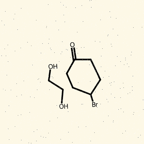 O=C1CCC(Br)CC1.OCCO